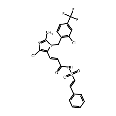 Cc1nc(Cl)c(/C=C/C(=O)NS(=O)(=O)/C=C/c2ccccc2)n1Cc1ccc(C(F)(F)F)cc1Cl